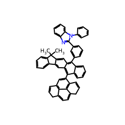 CC1(C)c2ccccc2-c2cc3c(-c4cc5c6c(ccc7c6c4C=CC7)CC=C5)c4ccccc4c(-c4cccc(-c5nc6ccccc6n5-c5ccccc5)c4)c3cc21